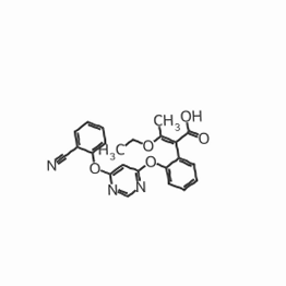 CCO/C(C)=C(/C(=O)O)c1ccccc1Oc1cc(Oc2ccccc2C#N)ncn1